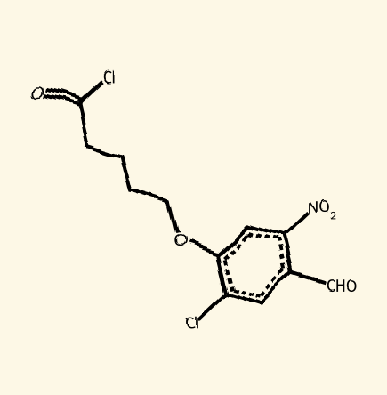 O=Cc1cc(Cl)c(OCCCCC(=O)Cl)cc1[N+](=O)[O-]